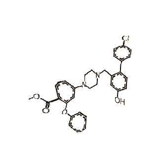 COC(=O)c1ccc(N2CCN(Cc3cc(O)ccc3-c3ccc(Cl)cc3)CC2)cc1Oc1ccccc1